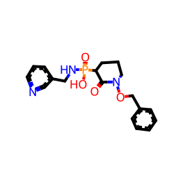 O=C1C(P(=O)(O)NCc2cccnc2)CCCN1OCc1ccccc1